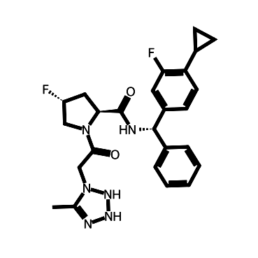 CC1=NNNN1CC(=O)N1C[C@H](F)C[C@H]1C(=O)N[C@@H](c1ccccc1)c1ccc(C2CC2)c(F)c1